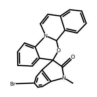 CN1C(=O)C2(OC3c4ccccc4C=CN3c3ccccc32)c2cc(Br)ccc21